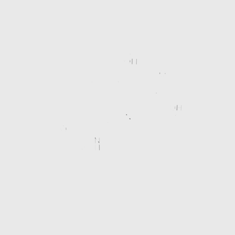 CC(=O)Nc1ccc(O)c(C(=O)O)n1